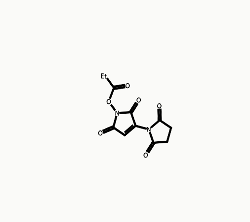 CCC(=O)ON1C(=O)C=C(N2C(=O)CCC2=O)C1=O